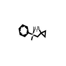 BC1(CS(C)(C)c2ccccc2)CC1